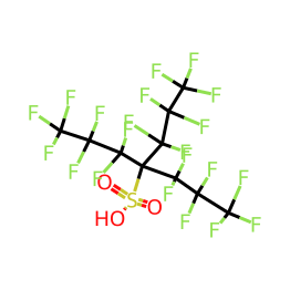 O=S(=O)(O)C(C(F)(F)C(F)(F)C(F)(F)F)(C(F)(F)C(F)(F)C(F)(F)F)C(F)(F)C(F)(F)C(F)(F)F